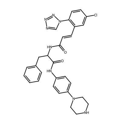 O=C(C=Cc1cc(Cl)ccc1-n1cnnn1)NC(Cc1ccccc1)C(=O)Nc1ccc(N2CCNCC2)cc1